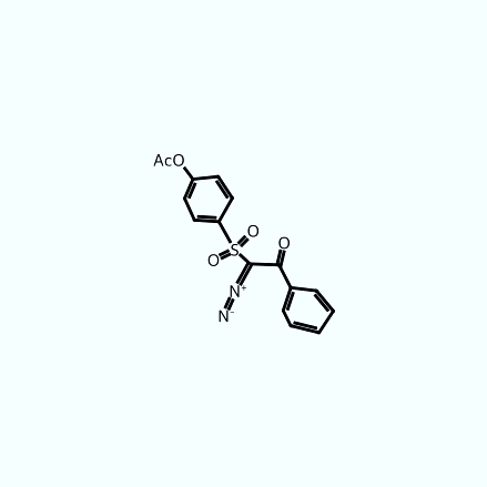 CC(=O)Oc1ccc(S(=O)(=O)C(=[N+]=[N-])C(=O)c2ccccc2)cc1